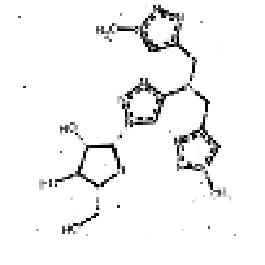 Cn1cc(CN(Cc2cn(C)nn2)c2cn([C@@H]3O[C@H](CO)C(O)[C@@H]3O)nn2)nn1